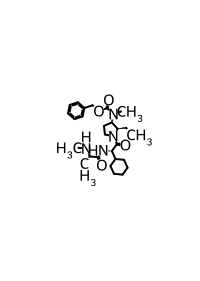 CC[C@@H]1[C@H](N(C)C(=O)OCc2ccccc2)CCN1C(=O)[C@@H](NC(=O)[C@H](C)NC)C1CCCCC1